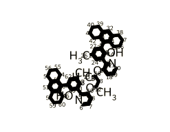 Cc1cc(-c2ncccc2OC(C)C[C@H](C)Oc2cccnc2-c2cc(C)cc(-c3c4c(cc5c3CCCC5)CCCC4)c2O)c(O)c(-c2c3c(cc4c2CCCC4)CCCC3)c1